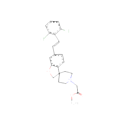 CC(C)(C)OC(=O)CN1CCC2(CC1)COc1cc(C=Cc3c(Cl)cccc3Cl)ccc12